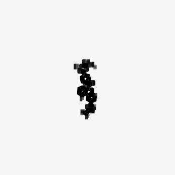 CC(C)(C)OC(=O)N1CCC(F)(C(=O)N(Cc2ccc(-c3nnc(C(F)F)o3)cn2)c2cccc(F)c2)CC1